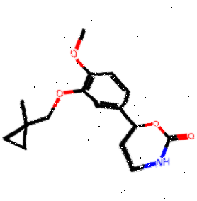 COc1ccc(C2CCNC(=O)O2)cc1OCC1(C)CC1